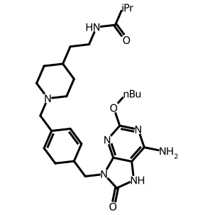 CCCCOc1nc(N)c2[nH]c(=O)n(CC3C=CC(CN4CCC(CCNC(=O)C(C)C)CC4)=CC3)c2n1